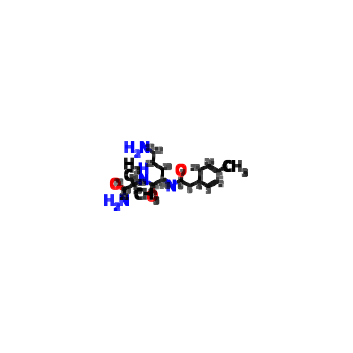 Cc1ccc(CC(=O)/N=C(\CCCN)C(=O)NC(C)(C)C(N)=O)cc1